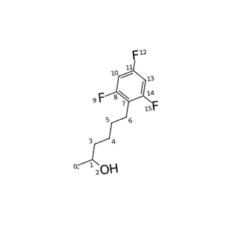 [CH2]C(O)CCCCc1c(F)cc(F)cc1F